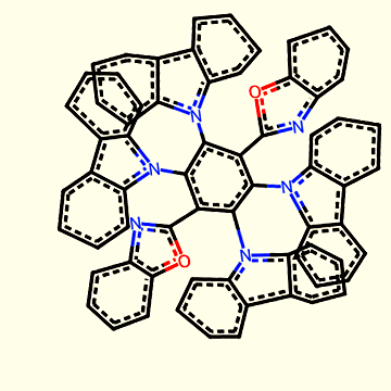 c1ccc2oc(-c3c(-n4c5ccccc5c5ccccc54)c(-n4c5ccccc5c5ccccc54)c(-c4nc5ccccc5o4)c(-n4c5ccccc5c5ccccc54)c3-n3c4ccccc4c4ccccc43)nc2c1